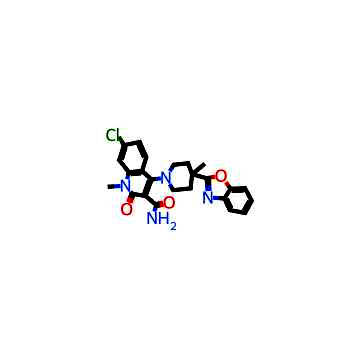 Cn1c(=O)c(C(N)=O)c(N2CCC(C)(c3nc4ccccc4o3)CC2)c2ccc(Cl)cc21